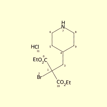 CCOC(=O)C(Br)(CC1CCNCC1)C(=O)OCC.Cl